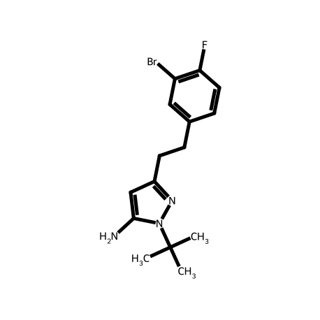 CC(C)(C)n1nc(CCc2ccc(F)c(Br)c2)cc1N